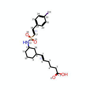 O=C(O)CCC/C=C/C1CCCC(NS(=O)(=O)/C=C/c2ccc(I)cc2)C1